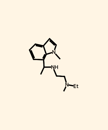 CCN(C)CCNC(C)c1cccc2ccn(C)c12